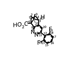 CC1(C)[C@H]2CCC1(C(=O)O)c1nnc(-c3c(F)cccc3F)cc12